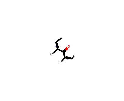 C/C=C(/CC)C(=O)/C(=C\C)CC